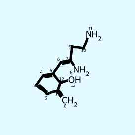 C=C1C=CC=C(C=C(N)CCN)C1O